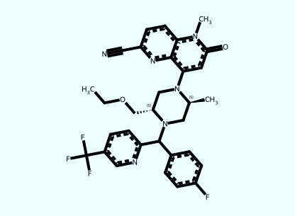 CCOC[C@@H]1CN(c2cc(=O)n(C)c3ccc(C#N)nc23)[C@@H](C)CN1C(c1ccc(F)cc1)c1ccc(C(F)(F)F)cn1